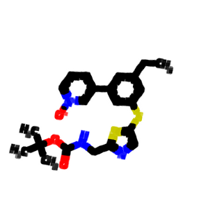 CCc1cc(Sc2cnc(CNC(=O)OC(C)(C)C)s2)cc(-c2ccc[n+]([O-])c2)c1